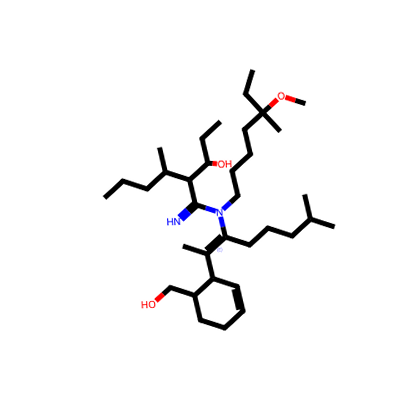 CCCC(C)C(C(=N)N(CCCCC(C)(CC)OC)/C(CCCC(C)C)=C(\C)C1C=CCCC1CO)C(O)CC